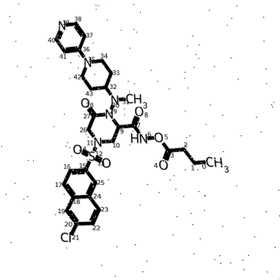 CCCC(=O)ONC(=O)C1CN(S(=O)(=O)c2ccc3cc(Cl)ccc3c2)CC(=O)N1N(C)C1CCN(c2ccncc2)CC1